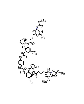 CC(C)(C)OC(=O)/N=C(/NCCCCC(=O)Nc1cc(C(F)(F)F)cc(NC(=O)Nc2ccc(NC(=O)Nc3cc(C(F)(F)F)cc(NC(=O)CCCCN/C(=N/C(=O)OC(C)(C)C)NC(=O)OC(C)(C)C)c3OC3CCNC3)cc2)c1OC1CCNC1)NC(=O)OC(C)(C)C